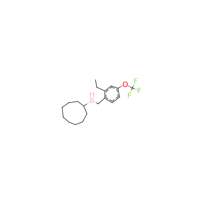 CCc1cc(OC(F)(F)F)ccc1CBC1CCCCCCCC1